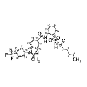 CCCCCC(=O)NS(=O)(=O)c1ccccc1NC(=O)c1ccc2c(c1)nc(C)n2-c1ccc(C(F)(F)F)cc1